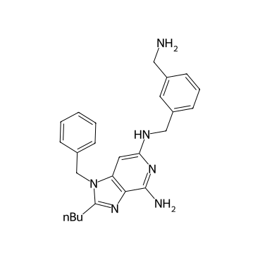 CCCCc1nc2c(N)nc(NCc3cccc(CN)c3)cc2n1Cc1ccccc1